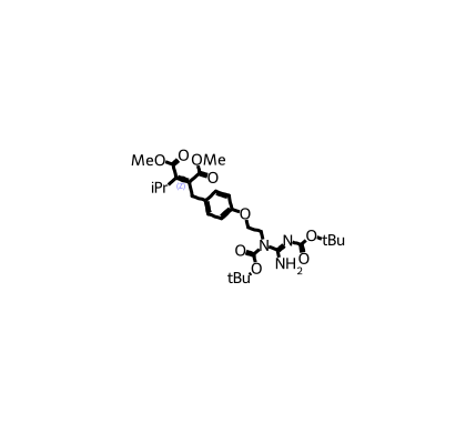 COC(=O)/C(Cc1ccc(OCCN(C(=O)OC(C)(C)C)C(N)=NC(=O)OC(C)(C)C)cc1)=C(\C(=O)OC)C(C)C